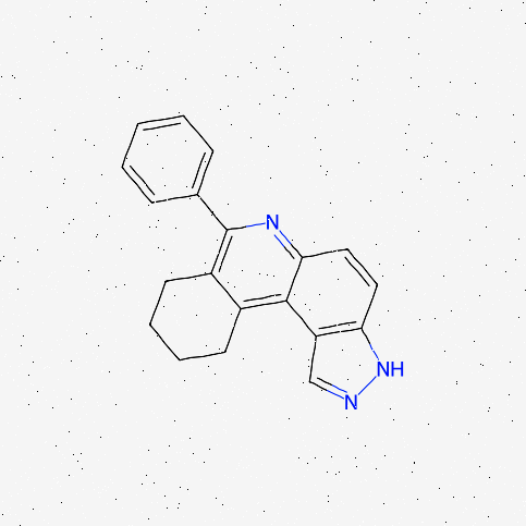 c1ccc(-c2nc3ccc4[nH]ncc4c3c3c2CCCC3)cc1